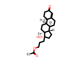 CCC(=O)OCCC[C@]1(O)CC[C@H]2[C@@H]3CCC4=CC(=O)CC[C@]4(C)[C@H]3CC[C@@]21CC